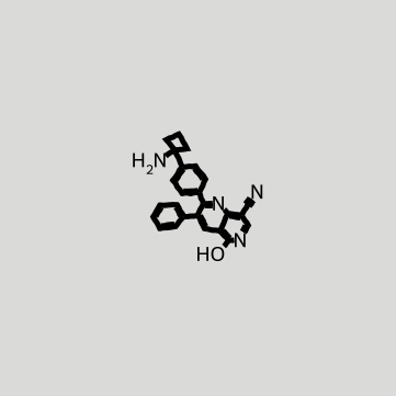 N#Cc1cnc(O)c2cc(-c3ccccc3)c(-c3ccc(C4(N)CCC4)cc3)nc12